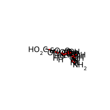 CC(C)(COP(=O)(O)OP(=O)(O)OC[C@H]1O[C@@H](n2cnc3c(N)ncnc32)[C@H](O)[C@@H]1OP(=O)(O)O)[C@@H](O)C(=O)NCCC(=O)NCCSC(=O)CCCC(=O)O